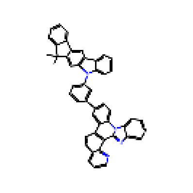 CC1(C)c2ccccc2-c2cc3c4ccccc4n(-c4cccc(-c5ccc6c(c5)c5ccc7cccnc7c5c5nc7ccccc7n65)c4)c3cc21